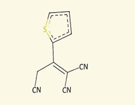 N#CCC(=C(C#N)C#N)c1cccs1